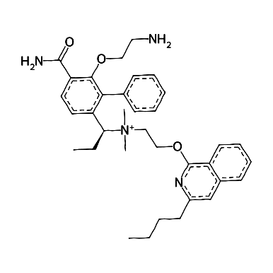 CCCCc1cc2ccccc2c(OCC[N+](C)(C)[C@@H](CC)c2ccc(C(N)=O)c(OCCN)c2-c2ccccc2)n1